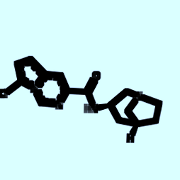 O=C(N[C@@H]1C[C@H]2CCN(C2)C1)c1cc2ccc(Cl)n2cn1